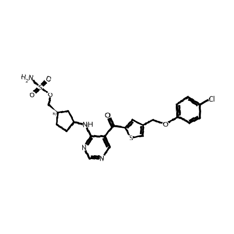 NS(=O)(=O)OC[C@@H]1CCC(Nc2ncncc2C(=O)c2cc(COc3ccc(Cl)cc3)cs2)C1